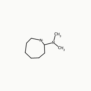 CN(C)C1CCCCCC[N]1